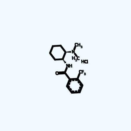 CN(C)[C@H]1CCCC[C@H]1NC(=O)c1ccccc1C(F)(F)F.Cl